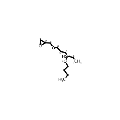 CCCCO[SiH](CC)CCCOCC1CO1